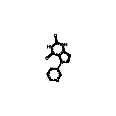 O=c1[nH]c(=O)c2c(ccn2-c2cccnc2)[nH]1